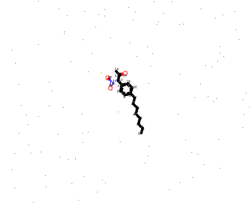 CCCCCCCCc1ccc(C(C(C)=O)[N+](=O)[O-])cc1